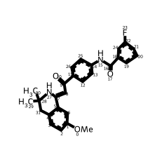 COc1ccc2c(c1)/C(=C/C(=O)c1ccc(NC(=O)c3cccc(F)c3)cc1)NC(C)(C)C2